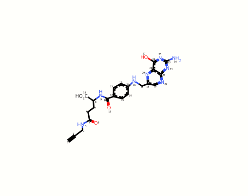 C#CCNC(=O)CCC(NC(=O)c1ccc(NCc2cnc3nc(N)nc(O)c3n2)cc1)C(=O)O